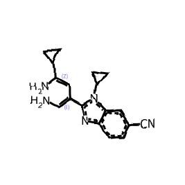 N#Cc1ccc2nc(C(/C=C(\N)C3CC3)=C/N)n(C3CC3)c2c1